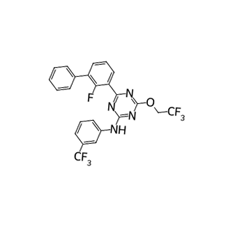 Fc1c(-c2ccccc2)cccc1-c1nc(Nc2cccc(C(F)(F)F)c2)nc(OCC(F)(F)F)n1